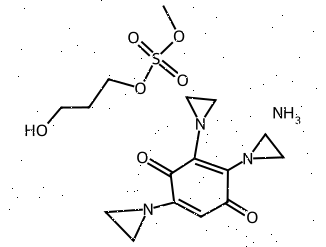 COS(=O)(=O)OCCCO.N.O=C1C=C(N2CC2)C(=O)C(N2CC2)=C1N1CC1